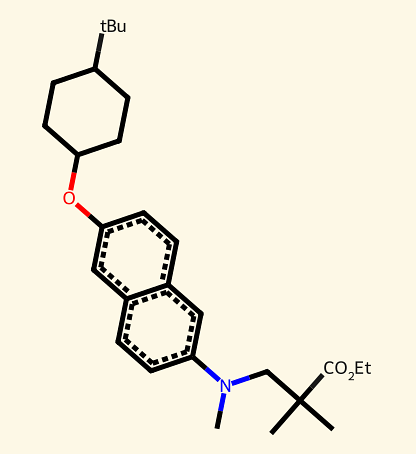 CCOC(=O)C(C)(C)CN(C)c1ccc2cc(OC3CCC(C(C)(C)C)CC3)ccc2c1